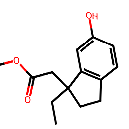 CCC1(CC(=O)OC)CCc2ccc(O)cc21